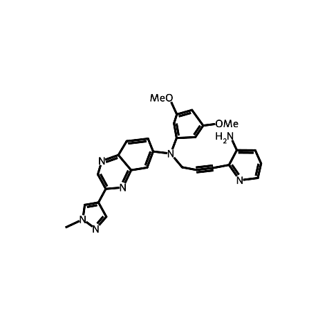 COc1cc(OC)cc(N(CC#Cc2ncccc2N)c2ccc3ncc(-c4cnn(C)c4)nc3c2)c1